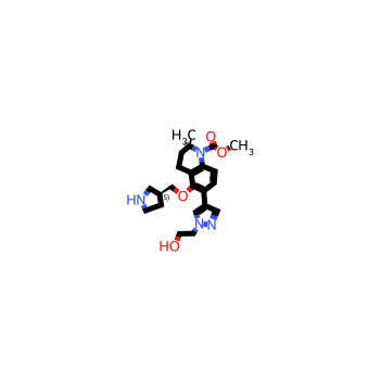 COC(=O)N1c2ccc(-c3cnn(CCO)c3)c(OC[C@H]3CCNC3)c2CC[C@@H]1C